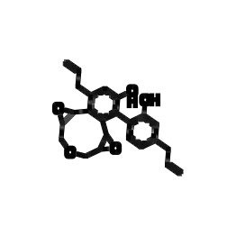 C=CCc1ccc(-c2c(O)cc(CC=C)c3c2C2OC2COCC2OC32)c(O)c1